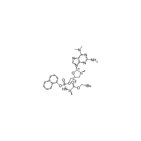 C[C@@H](NP(=O)(OC[C@]1(F)C[C@H](C)[C@H](n2cnc3c(N(C)C)nc(N)nc32)O1)Oc1cccc2ccccc12)C(=O)OCC(C)(C)C